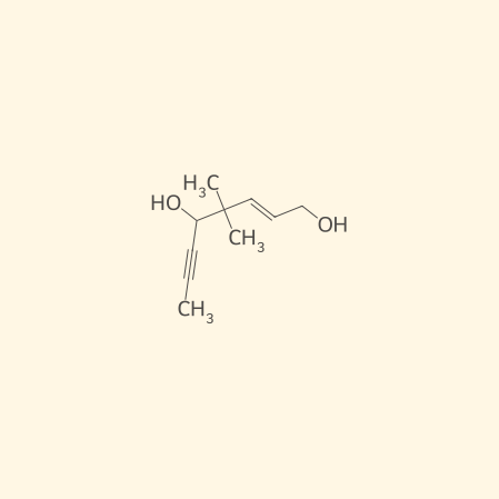 CC#CC(O)C(C)(C)C=CCO